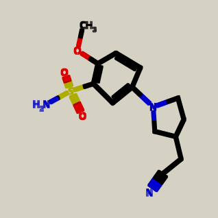 COc1ccc(N2CCC(CC#N)C2)cc1S(N)(=O)=O